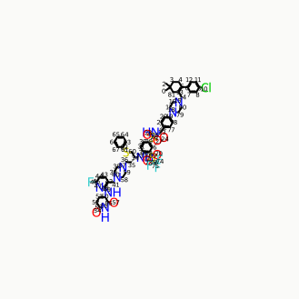 CC1(C)CCC(c2ccc(Cl)cc2)=C(CN2CCN(c3ccc(C(=O)NS(=O)(=O)c4ccc(N[C@H](CCN5CCN(Cc6ccc(F)nc6NC6CCC(=O)NC6=O)CC5)CSc5ccccc5)c(S(=O)(=O)C(F)(F)F)c4)cc3)CC2)C1